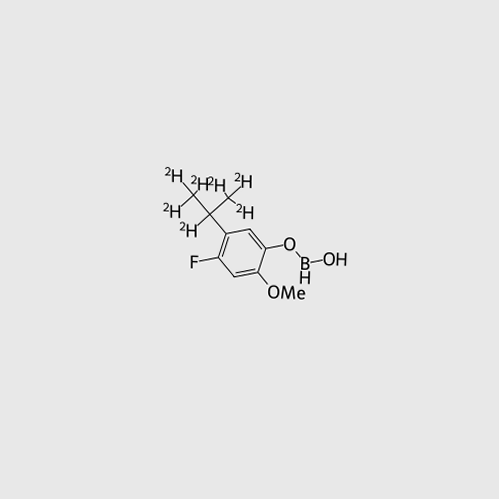 [2H]C([2H])([2H])C([2H])(c1cc(OBO)c(OC)cc1F)C([2H])([2H])[2H]